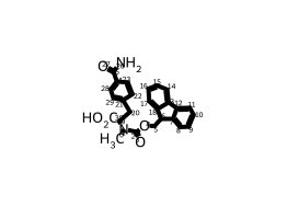 CN(C(=O)OCC1c2ccccc2-c2ccccc21)C(Cc1ccc(C(N)=O)cc1)C(=O)O